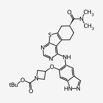 CN(C)C(=O)[C@H]1CCc2c(sc3ncnc(Nc4cc5cn[nH]c5cc4OC4CN(C(=O)OC(C)(C)C)C4)c23)C1